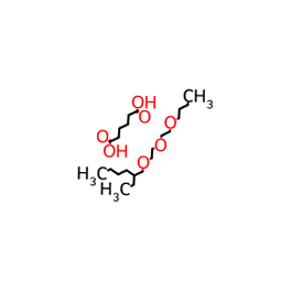 CCCCOCCOCCOCC(CC)CCCC.O=C(O)CCCCC(=O)O